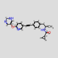 CC(Cc1ccc(C#Cc2ccc(OC3=CNCN=C3)nc2)cc1)NC(=O)C1CC1